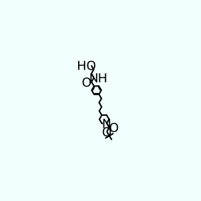 CC(C)(C)OC(=O)N1CCC(CCCCc2ccc(C(=O)NCCO)cc2)CC1